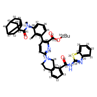 Cc1c(-c2ccc(N3CCc4cccc(C(=O)Nc5nc6ccccc6s5)c4C3)nc2C(=O)OC(C)(C)C)cccc1N(C)C(=O)C12CC3CC(CC(C3)C1)C2